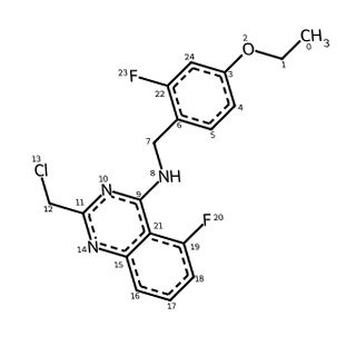 CCOc1ccc(CNc2nc(CCl)nc3cccc(F)c23)c(F)c1